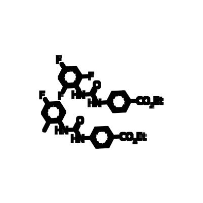 CCOC(=O)c1ccc(NC(=O)Nc2c(F)cc(F)cc2F)cc1.CCOC(=O)c1ccc(NC(=O)Nc2ccc(F)cc2C)cc1